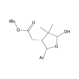 CC(=O)C1OC(O)C(C)(C)[C@H]1CC(=O)OC(C)(C)C